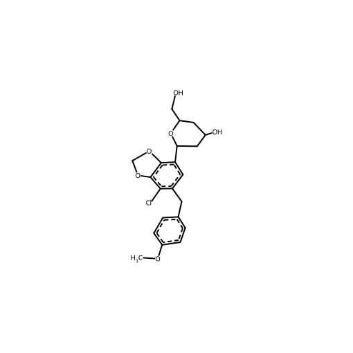 COc1ccc(Cc2cc(C3CC(O)CC(CO)O3)c3c(c2Cl)OCO3)cc1